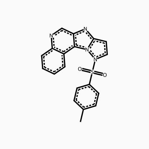 Cc1ccc(S(=O)(=O)n2ccc3nc4cnc5ccccc5c4n32)cc1